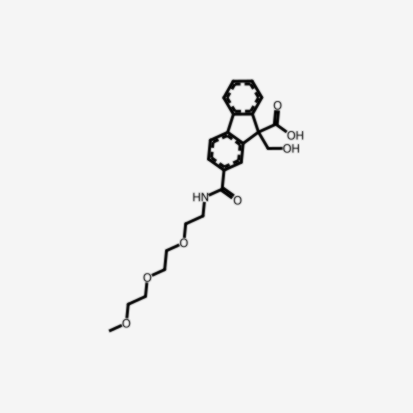 COCCOCCOCCNC(=O)c1ccc2c(c1)C(CO)(C(=O)O)c1ccccc1-2